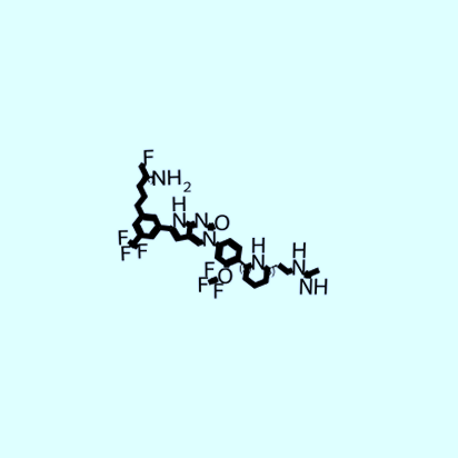 CC(=N)NCC[C@@H]1CCC[C@@H](c2ccc(-n3cc4cc(-c5cc(CCC[C@@H](N)CF)cc(C(F)(F)F)c5)[nH]c4nc3=O)cc2OC(F)(F)F)N1